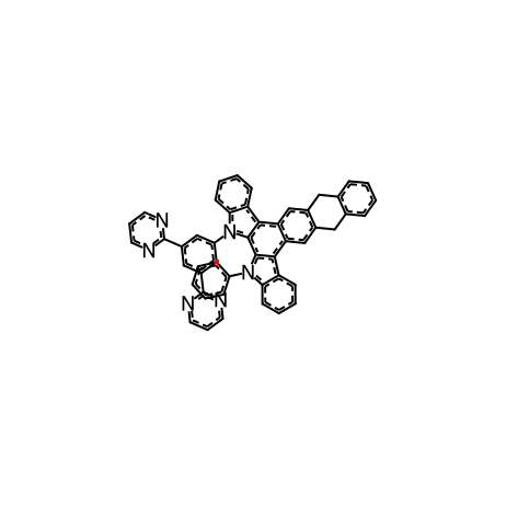 c1ccc(-n2c3ccccc3c3c4cc5c(cc4c4c6ccccc6n(-c6cc(-c7ncccn7)cc(-c7ncccn7)c6)c4c32)Cc2ccccc2C5)cc1